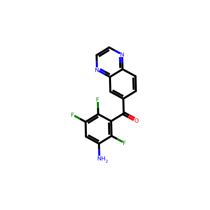 Nc1cc(F)c(F)c(C(=O)c2ccc3nccnc3c2)c1F